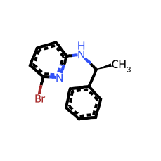 C[C@H](Nc1cccc(Br)n1)c1ccccc1